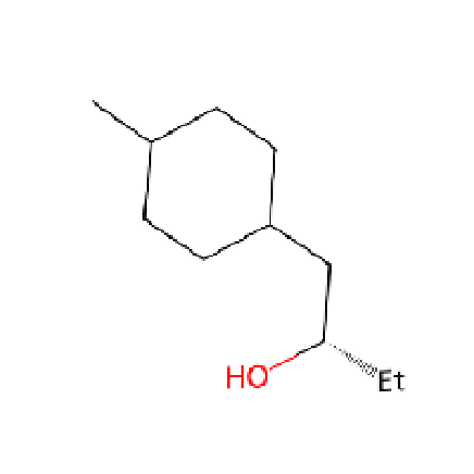 CC[C@H](O)CC1CCC(C)CC1